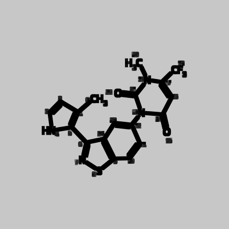 Cc1cc[nH]c1-c1nsc2ccc(-n3c(=O)cc(C(F)(F)F)n(C)c3=O)cc12